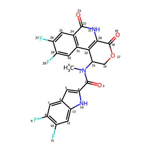 CN(C(=O)c1cc2cc(F)c(F)cc2[nH]1)C1COC(=O)c2[nH]c(=O)c3cc(F)c(F)cc3c21